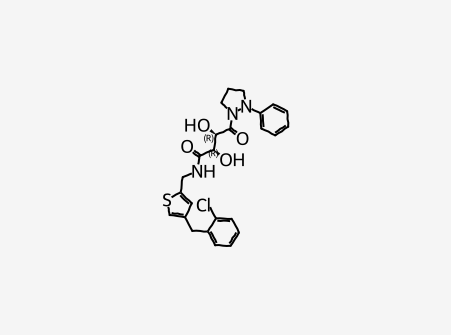 O=C(NCc1cc(Cc2ccccc2Cl)cs1)[C@H](O)[C@@H](O)C(=O)N1CCCN1c1ccccc1